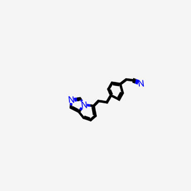 N#CCc1ccc(CCc2cccc3cncn23)cc1